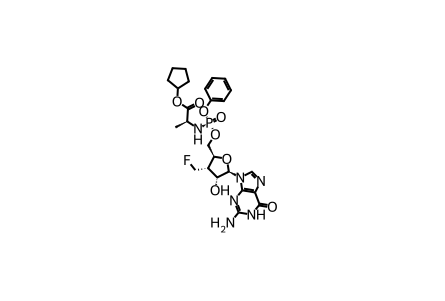 C[C@H](N[P@@](=O)(OC[C@H]1O[C@@H](n2cnc3c(=O)[nH]c(N)nc32)[C@H](O)[C@@H]1CF)Oc1ccccc1)C(=O)OC1CCCC1